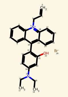 C=CC[n+]1c2ccccc2c(-c2ccc(N(CC)CC)cc2O)c2ccccc21.[Br-]